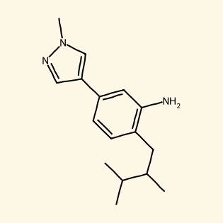 CC(C)C(C)Cc1ccc(-c2cnn(C)c2)cc1N